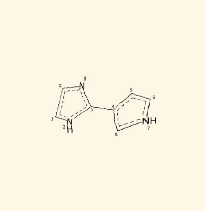 c1c[nH]c(-c2cc[nH]c2)n1